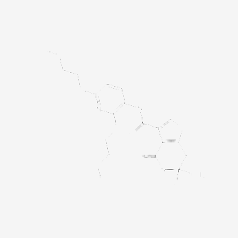 COCCOc1ccc(NC(=O)c2coc3c2C(=O)NC(C)(C)C3)c(OCCOC)n1